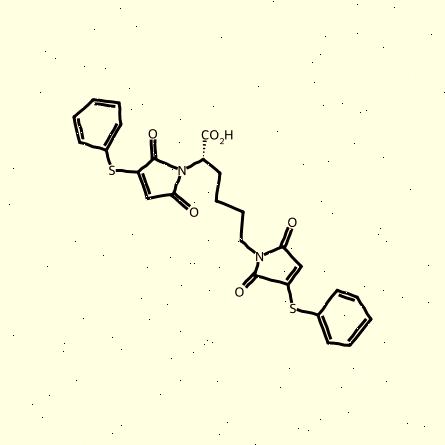 O=C(O)[C@H](CCCCN1C(=O)C=C(Sc2ccccc2)C1=O)N1C(=O)C=C(Sc2ccccc2)C1=O